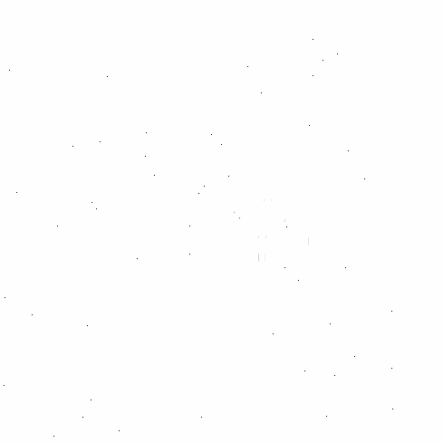 CC(C)(C)OC(=O)NCc1ccc(C[C]=O)s1